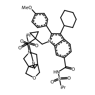 COc1ccc(-c2c(C3CCCCC3)c3ccc(C(=O)NS(=O)(=O)C(C)C)cc3n2CC2(C(=O)N3CC45COCC4(C3)CN(S(=O)(=O)C(C)C)C5)CC2)cc1